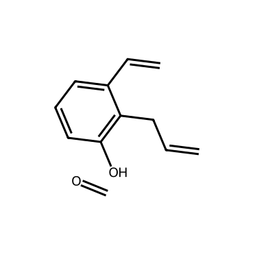 C=CCc1c(O)cccc1C=C.C=O